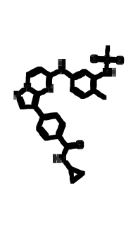 Cc1ccc(Nc2ccn3ncc(-c4ccc(C(=O)NC5CC5)cc4)c3n2)cc1NS(C)(=O)=O